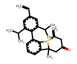 C=Cc1cc(C(C)C)c(-c2cccc3c2P2C(=C)CC(=O)CC32C)c(C(C)C)c1